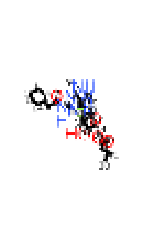 CNc1nc(NC(=O)CC2CCCCC2)nc2c1ncn2[C@@H]1O[C@H](COC(=O)CC(C)C)[C@@H](O)[C@@]1(C)F